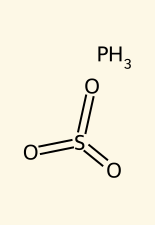 O=S(=O)=O.P